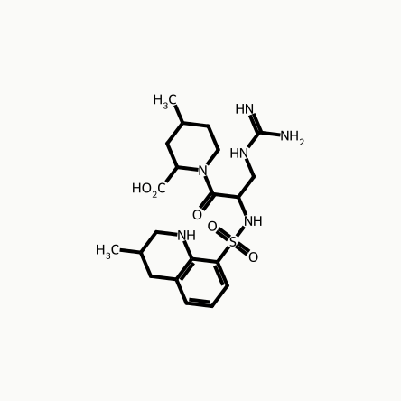 CC1CNc2c(cccc2S(=O)(=O)NC(CNC(=N)N)C(=O)N2CCC(C)CC2C(=O)O)C1